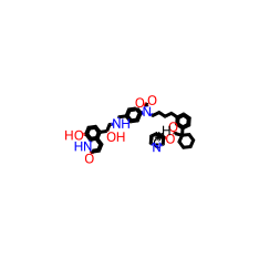 O=C(O[C@H]1CN2CCC1CC2)C1(c2cccc(CCCCn3c(=O)oc4cc(CNCC(O)c5ccc(O)c6[nH]c(=O)ccc56)ccc43)c2)CCCCC1